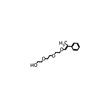 CC(=COCCOCCOCCO)c1ccccc1